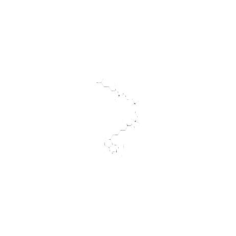 CC(C)CCCNC(=O)NCCC(C)(C)OCCC(C)(C)NC(=O)CCCCC1SCC2NC(=O)NC21